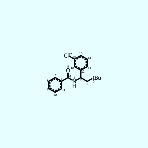 CC(C)(C)CC(NC(=O)c1ccccc1)c1cccc(Cl)c1